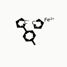 Cc1ccc(-c2ccc[cH-]2)cc1.[Fe+2].c1cc[cH-]c1